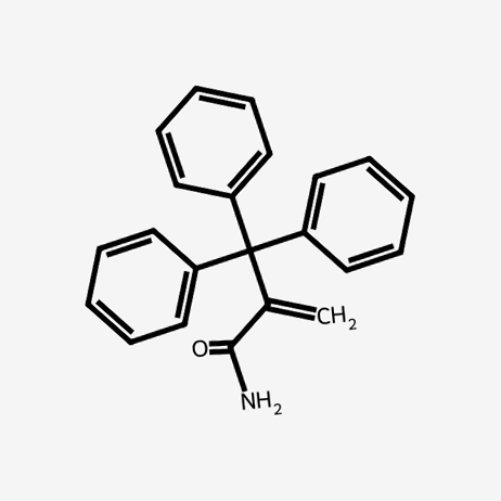 C=C(C(N)=O)C(c1ccccc1)(c1ccccc1)c1ccccc1